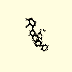 NC1=N[C@@]2(CO1)c1cc(-c3cccc(Cl)c3F)ccc1Oc1ncc(C3=CCOCC3)cc12